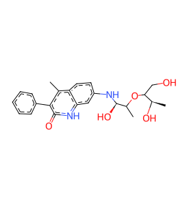 Cc1c(-c2ccccc2)c(=O)[nH]c2cc(N[C@H](O)C(C)OC(CO)[C@@H](C)O)ccc12